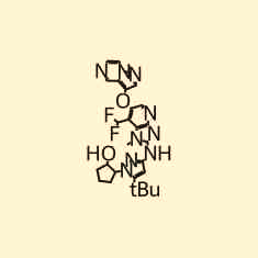 Cn1c(Nc2cc(C(C)(C)C)n(C3CCCC3O)n2)nc2ncc(Oc3cnn4ccncc34)c(C(F)F)c21